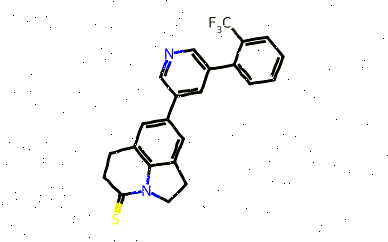 FC(F)(F)c1ccccc1-c1cncc(-c2cc3c4c(c2)CCN4C(=S)CC3)c1